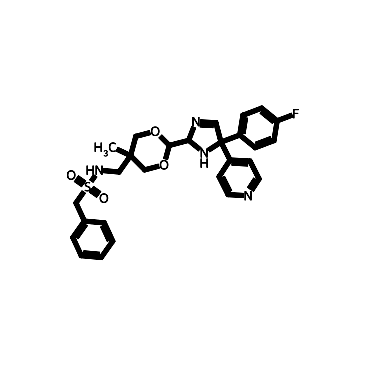 CC1(CNS(=O)(=O)Cc2ccccc2)COC(C2N=CC(c3ccncc3)(c3ccc(F)cc3)N2)OC1